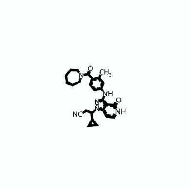 Cc1cc(Nc2nn(C(CC#N)C3CC3)c3cc[nH]c(=O)c23)ccc1C(=O)N1CCCCCC1